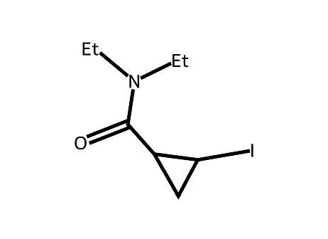 CCN(CC)C(=O)C1CC1I